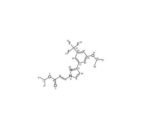 CC(C)OC(=O)C=Cn1ccc(-c2cc(OC(C)C)cc(C(F)(F)F)c2)n1